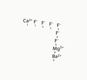 [Ba+2].[Ca+2].[F-].[F-].[F-].[F-].[F-].[F-].[Mg+2]